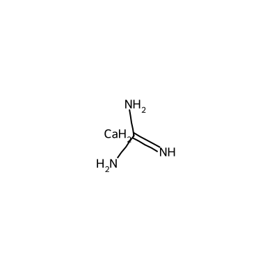 N=C(N)N.[CaH2]